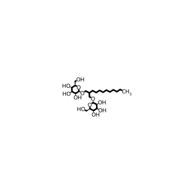 CCCCCCCCCCC(CO[C@@H]1O[C@H](CO)[C@@H](O)[C@H](O)[C@H]1O)CO[C@H]1O[C@H](CO)[C@@H](O)[C@H](O)[C@H]1O